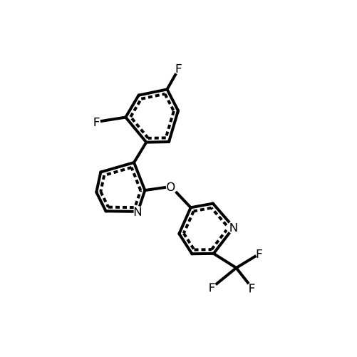 Fc1ccc(-c2cccnc2Oc2ccc(C(F)(F)F)nc2)c(F)c1